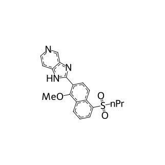 CCCS(=O)(=O)c1cccc2c(OC)c(-c3nc4cnccc4[nH]3)ccc12